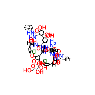 CC(C)C[C@H](C(=O)N[C@H]1C(=O)N[C@@H](CC(N)=O)C(=O)N[C@H]2C(=O)N[C@H]3C(=O)N[C@H](C(=O)N[C@H](C(=O)NC4C5CC6CC(C5)CC4C6)c4cc(O)cc(O)c4-c4cc3ccc4O)[C@H](O)c3ccc(c(Cl)c3)Oc3cc2cc(c3OC2OC(CO)C(O)C(O)C2O)Oc2ccc(cc2Cl)[C@H]1O)N(C)C(=O)OC(C)(C)C